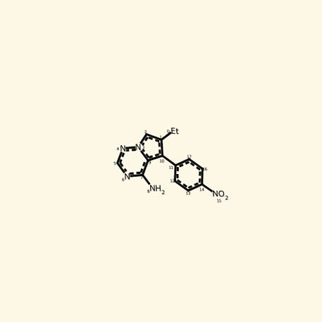 CCc1cn2ncnc(N)c2c1-c1ccc([N+](=O)[O-])cc1